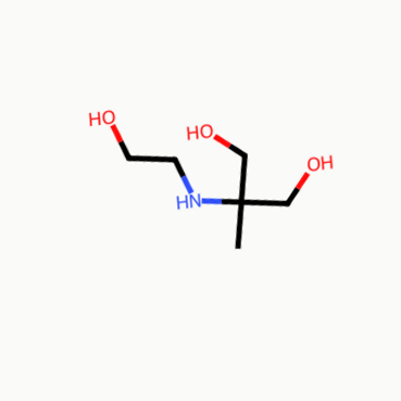 CC(CO)(CO)NCCO